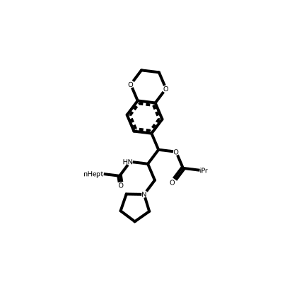 CCCCCCCC(=O)NC(CN1CCCC1)C(OC(=O)C(C)C)c1ccc2c(c1)OCCO2